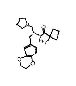 O=C(N[C@@H](Cc1ccc2c(c1)OCCO2)CN1CCCC1)C1(C(F)(F)F)CCC1